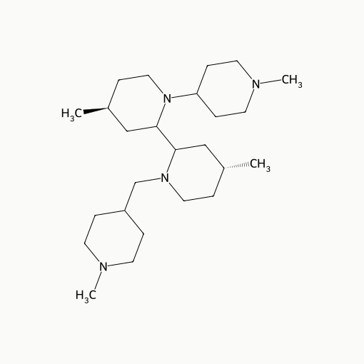 C[C@@H]1CCN(CC2CCN(C)CC2)C(C2C[C@@H](C)CCN2C2CCN(C)CC2)C1